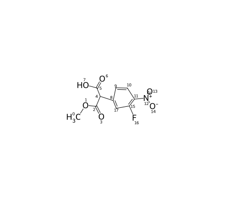 COC(=O)C(C(=O)O)c1ccc([N+](=O)[O-])c(F)c1